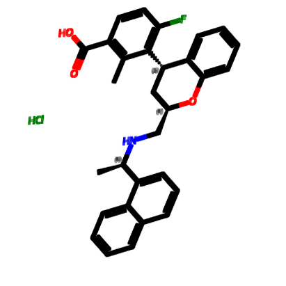 Cc1c(C(=O)O)ccc(F)c1[C@H]1C[C@H](CN[C@H](C)c2cccc3ccccc23)Oc2ccccc21.Cl